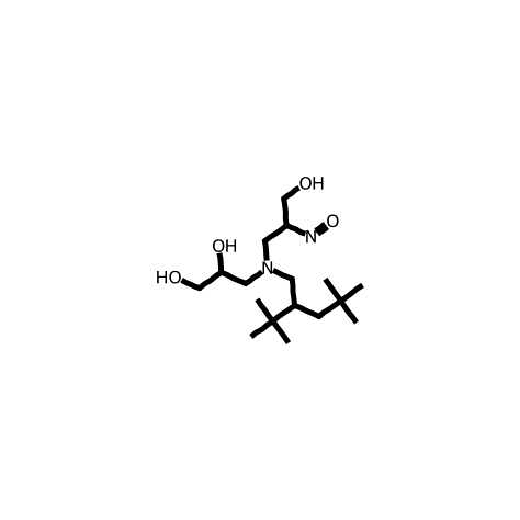 CC(C)(C)CC(CN(CC(O)CO)CC(CO)N=O)C(C)(C)C